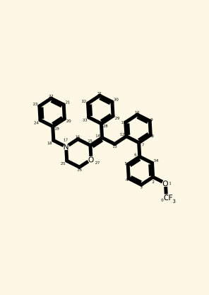 FC(F)(F)Oc1cccc(-c2ccccc2CC(=C2CN(Cc3ccccc3)CCO2)c2ccccc2)c1